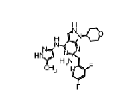 Cc1cc(NC2=NC(N)(Cc3ncc(F)cc3F)N=C3C2=CNN3C2CCOCC2)n[nH]1